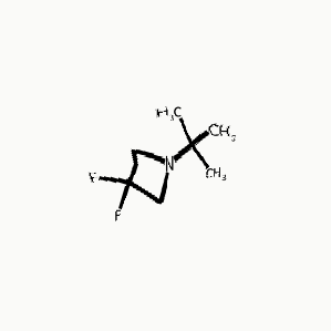 CC(C)(C)N1CC(F)(F)C1